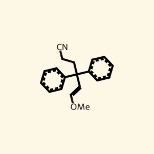 CO/C=C/C(CCC#N)(c1ccccc1)c1ccccc1